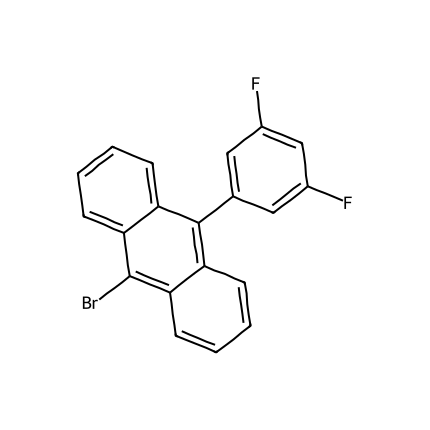 Fc1cc(F)cc(-c2c3ccccc3c(Br)c3ccccc23)c1